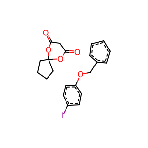 Ic1ccc(OCc2ccccc2)cc1.O=C1CC(=O)OC2(CCCC2)O1